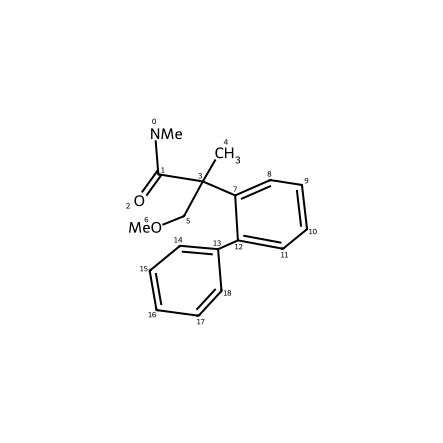 CNC(=O)C(C)(COC)c1ccccc1-c1ccccc1